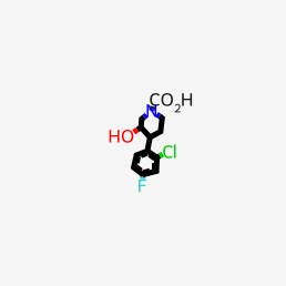 O=C(O)N1CCC(c2ccc(F)cc2Cl)C(O)C1